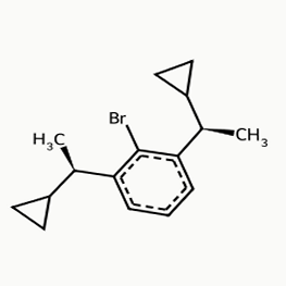 C[C@@H](c1cccc([C@H](C)C2CC2)c1Br)C1CC1